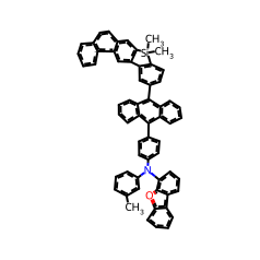 Cc1cccc(N(c2ccc(-c3c4ccccc4c(-c4ccc5c(c4)-c4cc6c(ccc7ccccc76)cc4[Si]5(C)C)c4ccccc34)cc2)c2cccc3c2oc2ccccc23)c1